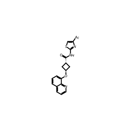 CC(=O)c1csc(NC(=O)[C@H]2C[C@H](Oc3cccc4cccnc34)C2)n1